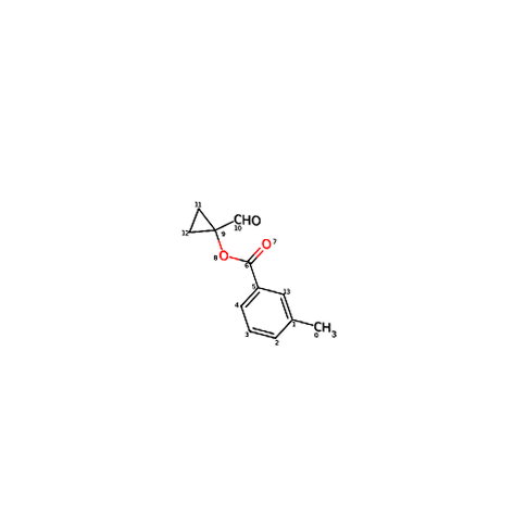 Cc1cccc(C(=O)OC2(C=O)CC2)c1